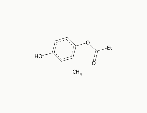 C.CCC(=O)Oc1ccc(O)cc1